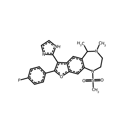 CC1c2cc3c(-c4ncc[nH]4)c(-c4ccc(F)cc4)oc3cc2N(S(C)(=O)=O)CCN1C